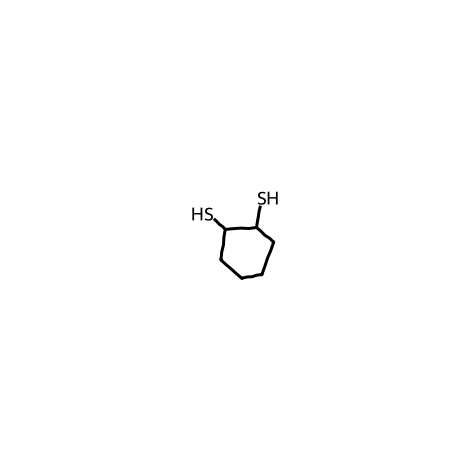 SC1CCCCC1S